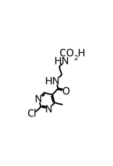 Cc1nc(Cl)ncc1C(=O)NCCNC(=O)O